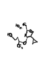 O=C(O)c1ccc(C2CC2)c(O[C@H](CCO)C(F)(F)F)n1